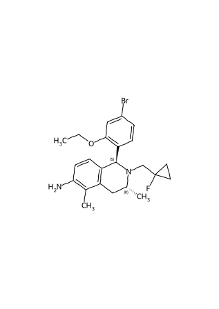 CCOc1cc(Br)ccc1[C@@H]1c2ccc(N)c(C)c2C[C@@H](C)N1CC1(F)CC1